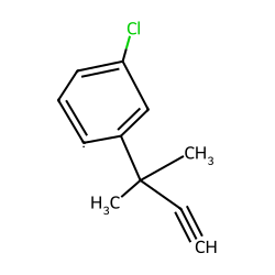 C#CC(C)(C)c1[c]ccc(Cl)c1